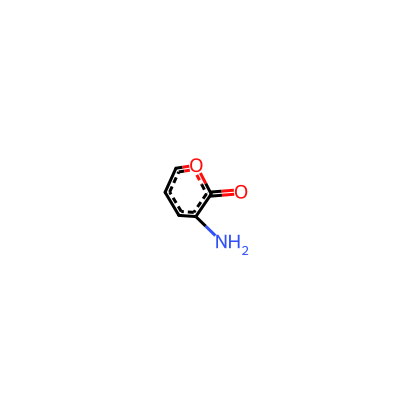 Nc1cccoc1=O